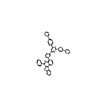 c1ccc(-c2ccc(-c3cc(-c4cccc(-c5cccc6c5nc(-c5ccccc5)c5oc7ccccc7c56)c4)nc(-c4ccc(-c5ccccc5)cc4)n3)cc2)cc1